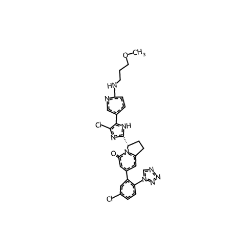 COCCCNc1ccc(-c2[nH]c([C@@H]3CCc4cc(-c5cc(Cl)ccc5-n5cnnn5)cc(=O)n43)nc2Cl)cn1